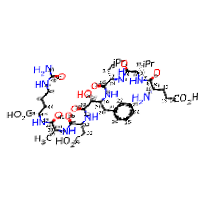 CC(C)C[C@H](NC(=O)[C@@H](NC(=O)[C@@H](N)CCC(=O)O)C(C)C)C(=O)N[C@@H](Cc1ccccc1)[C@@H](O)C(=O)N[C@@H](CC(=O)O)C(=O)N[C@@H](C)C(=O)N[C@@H](CCCNC(N)=O)C(=O)O